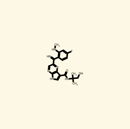 CNc1cc(F)ccc1C(=N)c1cnc2[nH]cc(C(=O)NC(C)(C)CO)c2n1